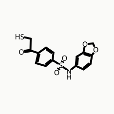 O=C(CS)c1ccc(S(=O)(=O)Nc2ccc3c(c2)OCO3)cc1